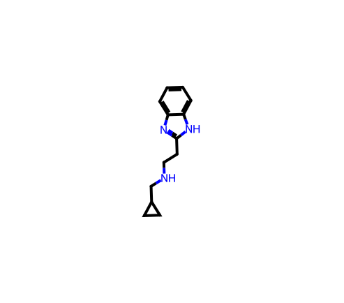 c1ccc2[nH]c(CCNCC3CC3)nc2c1